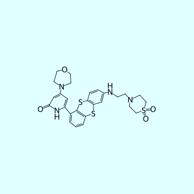 O=c1cc(N2CCOCC2)cc(-c2cccc3c2Sc2ccc(NCCN4CCS(=O)(=O)CC4)cc2S3)[nH]1